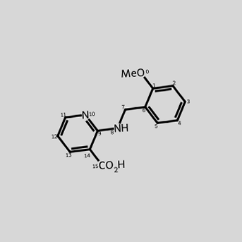 COc1ccccc1CNc1ncccc1C(=O)O